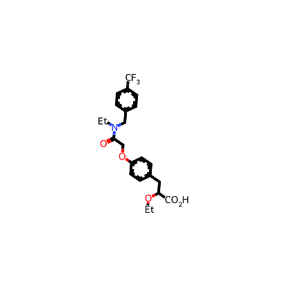 CCOC(Cc1ccc(OCC(=O)N(CC)Cc2ccc(C(F)(F)F)cc2)cc1)C(=O)O